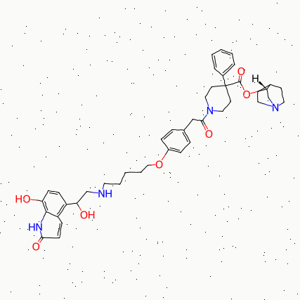 O=C(Cc1ccc(OCCCCCNCC(O)c2ccc(O)c3[nH]c(=O)ccc23)cc1)N1CCC(C(=O)O[C@H]2CN3CCC2CC3)(c2ccccc2)CC1